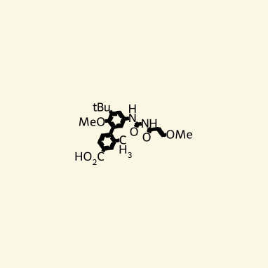 COC=CC(=O)NC(=O)Nc1cc(-c2ccc(C(=O)O)cc2C)c(OC)c(C(C)(C)C)c1